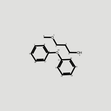 COCCCO.c1ccc(Oc2ccccc2)cc1